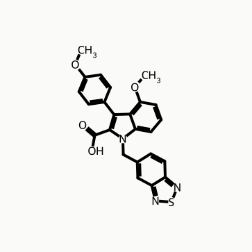 COc1ccc(-c2c(C(=O)O)n(Cc3ccc4nsnc4c3)c3cccc(OC)c23)cc1